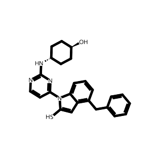 O[C@H]1CC[C@H](Nc2nccc(-n3c(S)cc4c(Cc5ccccc5)cccc43)n2)CC1